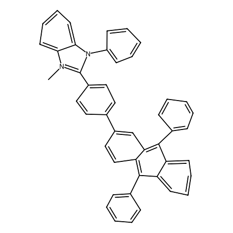 C[n+]1c(-c2ccc(-c3ccc4c(-c5ccccc5)c5ccccc5c(-c5ccccc5)c4c3)cc2)n(-c2ccccc2)c2ccccc21